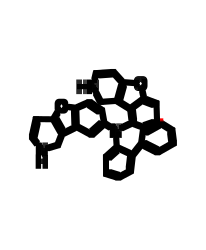 C1=Cc2oc3ccc(N(c4ccccc4-c4ccccc4)c4cccc5oc6c(c45)CNC=C6)cc3c2CN1